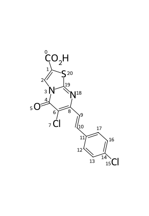 O=C(O)c1cn2c(=O)c(Cl)c(/C=C/c3ccc(Cl)cc3)nc2s1